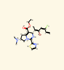 C=C/C(F)=C\C(Br)=C(/C)[C@@H]1N=C(c2nccs2)N2C[C@H](N(C)C)CC2=C1C(=O)OCC